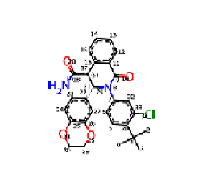 CC(C)(C)c1ccc(N2C(=O)c3ccccc3[C@H](C(N)=O)[C@H]2c2ccc3c(c2)OCCO3)cc1Cl